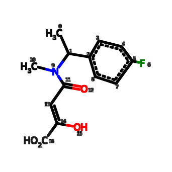 CC(c1ccc(F)cc1)N(C)C(=O)C=C(O)C(=O)O